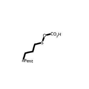 CCCCCCCCSOC(=O)O